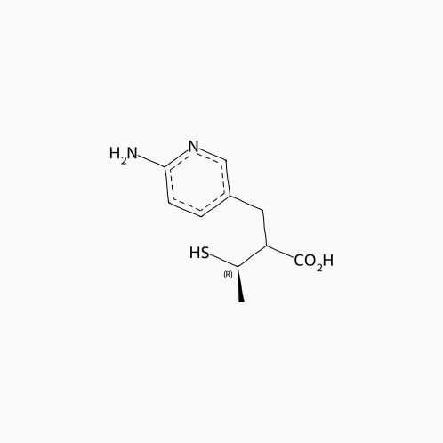 C[C@@H](S)C(Cc1ccc(N)nc1)C(=O)O